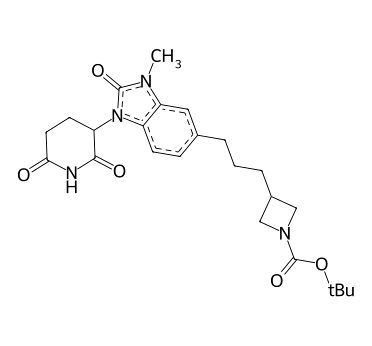 Cn1c(=O)n(C2CCC(=O)NC2=O)c2ccc(CCCC3CN(C(=O)OC(C)(C)C)C3)cc21